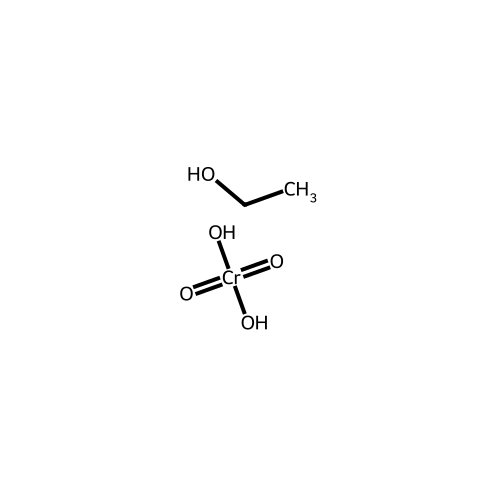 CCO.[O]=[Cr](=[O])([OH])[OH]